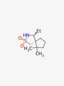 CC[C@@H]1NS(=O)(=O)C[C@@]12CCCC2(C)C